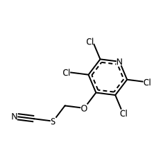 N#CSCOc1c(Cl)c(Cl)nc(Cl)c1Cl